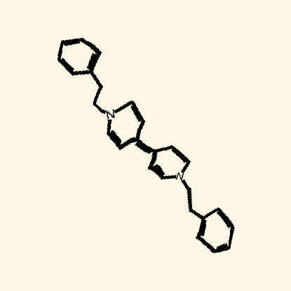 C1=CN(CCc2ccccc2)C=CC1=C1C=CN(CCc2ccccc2)C=C1